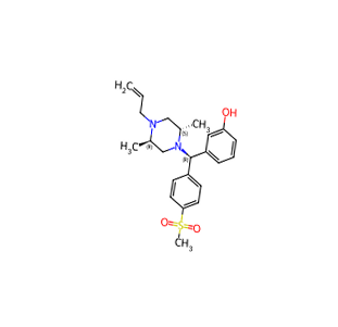 C=CCN1C[C@H](C)N([C@H](c2ccc(S(C)(=O)=O)cc2)c2cccc(O)c2)C[C@H]1C